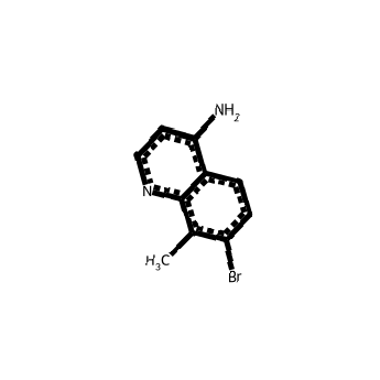 Cc1c(Br)ccc2c(N)ccnc12